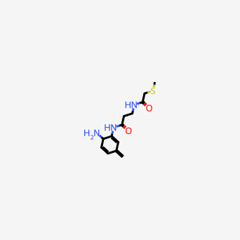 C=C1C=CC(N)C(NC(=O)CCNC(=O)CSC)=C1